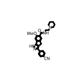 COc1cc2c(cc1C(=O)NCCN1CCCCC1)Cc1c(-c3ccc(C#N)cc3)n[nH]c1-2